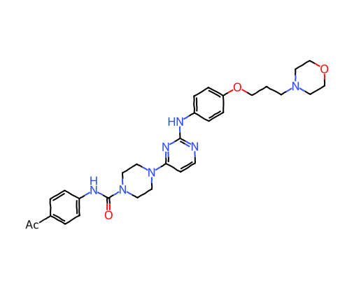 CC(=O)c1ccc(NC(=O)N2CCN(c3ccnc(Nc4ccc(OCCCN5CCOCC5)cc4)n3)CC2)cc1